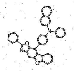 c1ccc(-c2nc3cc4oc5ccccc5c4c(-c4ccc(N(c5ccccc5)c5ccc6ccccc6c5)cc4)c3o2)cc1